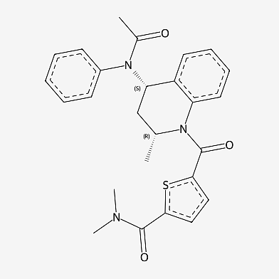 CC(=O)N(c1ccccc1)[C@H]1C[C@@H](C)N(C(=O)c2ccc(C(=O)N(C)C)s2)c2ccccc21